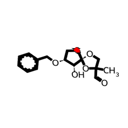 CC1(C=O)CO[C@]2(O1)[C@H](O)[C@H](OCc1ccccc1)CC21SCCS1